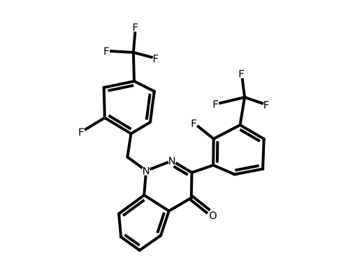 O=c1c(-c2cccc(C(F)(F)F)c2F)nn(Cc2ccc(C(F)(F)F)cc2F)c2ccccc12